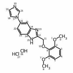 COc1cccc(OC)c1OCc1nc2cc(-n3ccnc3)ccc2[nH]1.Cl.Cl